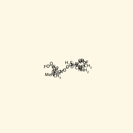 CN[C@@H](C)C(=O)N[C@H](C(=O)N1CCC[C@H]1C1=NC(C(=O)c2ccc(F)cc2)CS1)C1CCN(CCOCCOCCC(=O)N(C)CCn2nc3c(c2C#N)-c2cnc(N)c(n2)O[C@H](C)c2cc(F)ccc2C(=O)N(C)C3)CC1